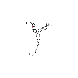 CCCCCCCC[C@H]1CC[C@H](C2CCC(c3ccc(Oc4cccc(N)c4)cc3)(c3ccc(Oc4cccc(N)c4)cc3)CC2)CC1